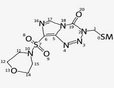 CSCn1nnc2c(S(=O)(=O)N3CCOCC3)ncn2c1=O